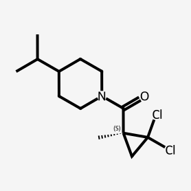 CC(C)C1CCN(C(=O)[C@]2(C)CC2(Cl)Cl)CC1